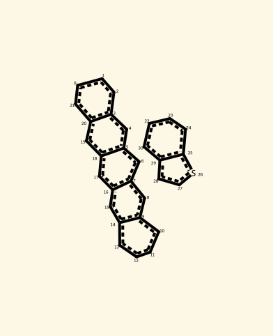 c1ccc2cc3cc4cc5ccccc5cc4cc3cc2c1.c1ccc2sccc2c1